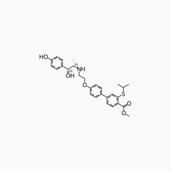 COC(=O)c1ccc(-c2ccc(OCCN[C@@H](C)[C@@H](O)c3ccc(O)cc3)cc2)cc1SC(C)C